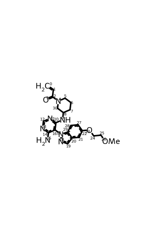 C=CC(=O)N1CCCC(Nc2ncnc(N)c2-n2ncc3cc(OCCOC)ccc32)C1